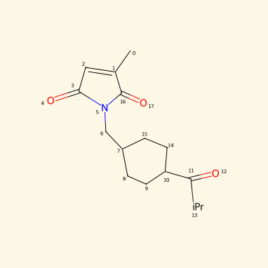 CC1=CC(=O)N(CC2CCC(C(=O)C(C)C)CC2)C1=O